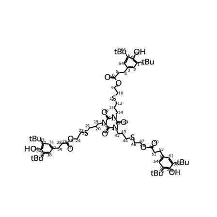 CC(C)(C)c1cc(CCC(=O)OCCSCCCn2c(=O)n(CCCSCCOC(=O)CCc3cc(C(C)(C)C)c(O)c(C(C)(C)C)c3)c(=O)n(CCCSCCOC(=O)CCc3cc(C(C)(C)C)c(O)c(C(C)(C)C)c3)c2=O)cc(C(C)(C)C)c1O